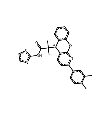 Cc1ccc(-c2ccc3c(n2)Oc2ccccc2[C@@H]3C(C)(C)C(=O)Nc2nncs2)cc1C